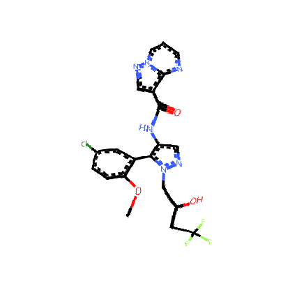 COc1ccc(Cl)cc1-c1c(NC(=O)c2cnn3cccnc23)cnn1CC(O)CC(F)(F)F